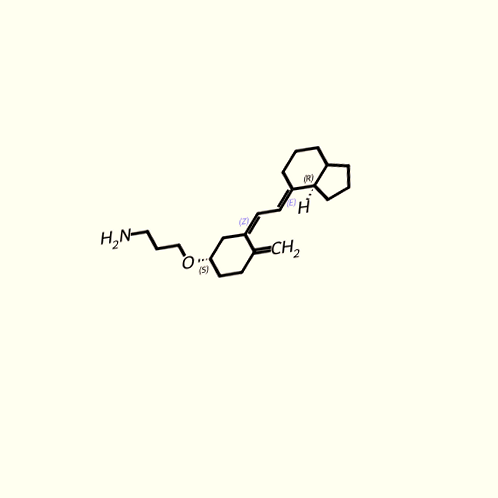 C=C1CC[C@H](OCCCN)C/C1=C/C=C1\CCCC2CCC[C@@H]12